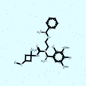 CCOC1CC(NC(=O)N(CCO[C@@H](C)c2ccccc2)[C@H](C)c2cc(OC)c(C(C)=O)c(OC)c2Cl)(C(=O)O)C1